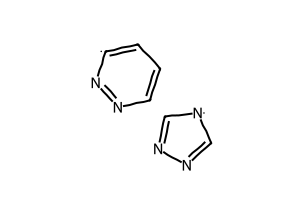 C1=NN=C[N]1.[c]1cccnn1